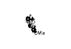 COc1ccc(-n2ccc(NC(=O)C3(c4ccccc4F)CC3)n2)c(F)c1